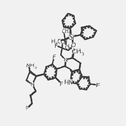 CC1Cc2c([nH]c3ccc(F)cc23)C(c2c(F)cc(C3C(N)CN3CCCF)cc2F)N1CC(C)(F)CO[Si](c1ccccc1)(c1ccccc1)C(C)(C)C